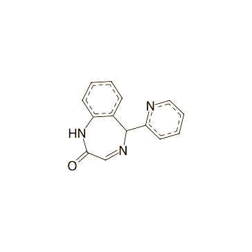 O=C1C=NC(c2ccccn2)c2ccccc2N1